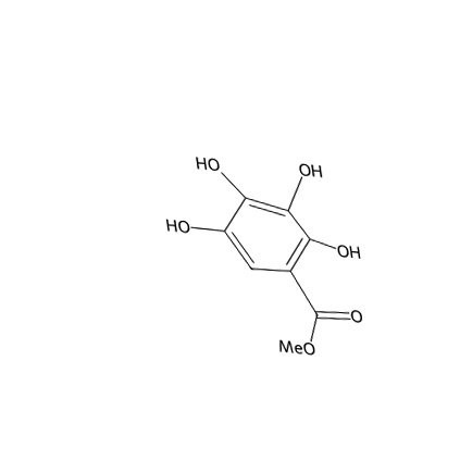 COC(=O)c1cc(O)c(O)c(O)c1O